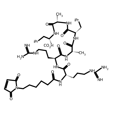 CC(C)C[C@H](NC(=O)[C@H](C)NC(=O)[C@H](CC(C)C)NC(=O)[C@H](C)NC(=O)[C@H](CCCNC(=N)N)NC(=O)[C@H](CCCNC(=N)N)NC(=O)CCCCCN1C(=O)C=CC1=O)C(=O)O